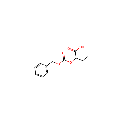 CCC(OC(=O)OCc1ccccc1)C(=O)O